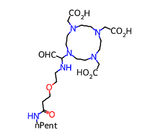 CCCCCNC(=O)CCOCCNC(C=O)N1CCN(CC(=O)O)CCN(CC(=O)O)CCN(CC(=O)O)CC1